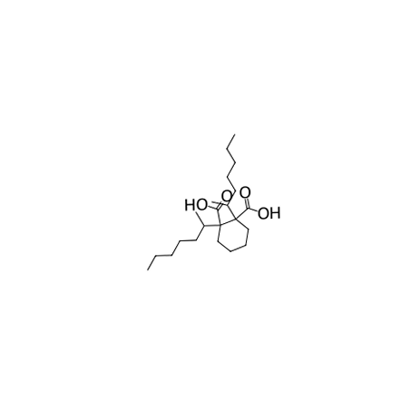 CCCCCC(C)C1(C(=O)O)CCCCC1(C(=O)O)C(C)CCCCC